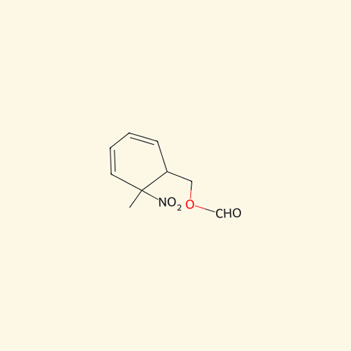 CC1([N+](=O)[O-])C=CC=CC1COC=O